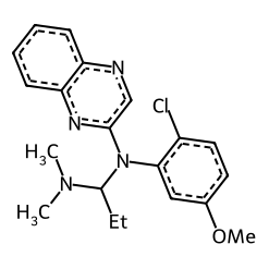 [CH2]CC(N(C)C)N(c1cnc2ccccc2n1)c1cc(OC)ccc1Cl